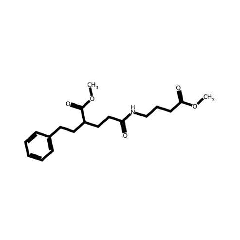 COC(=O)CCCNC(=O)CCC(CCc1ccccc1)C(=O)OC